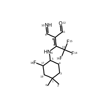 CC1(C)CCC(N/C(=C(\C=N)C=O)C(F)(F)F)C(F)C1